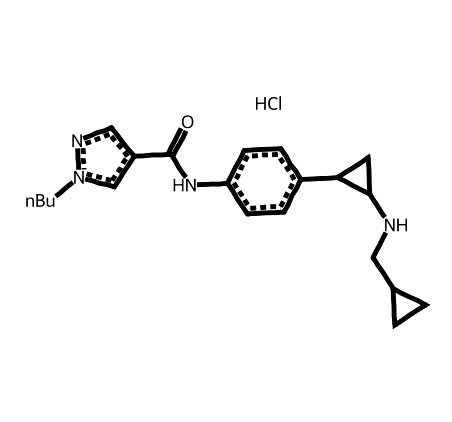 CCCCn1cc(C(=O)Nc2ccc(C3CC3NCC3CC3)cc2)cn1.Cl